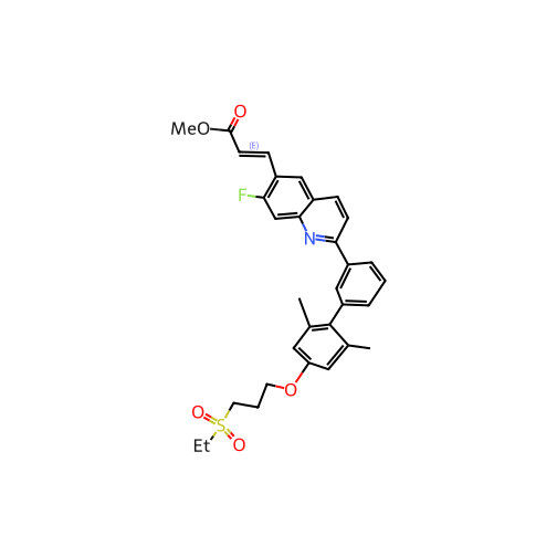 CCS(=O)(=O)CCCOc1cc(C)c(-c2cccc(-c3ccc4cc(/C=C/C(=O)OC)c(F)cc4n3)c2)c(C)c1